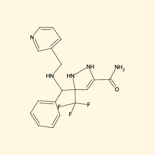 NC(=O)C1=CC(C(NCc2cccnc2)c2ccccc2)(C(F)(F)F)NN1